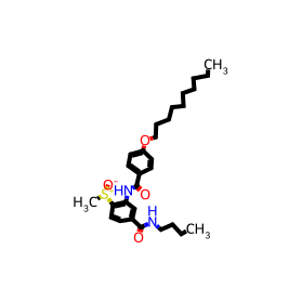 CCCCCCCCCCOc1ccc(C(=O)Nc2cc(C(=O)NCCCC)ccc2[S+](C)[O-])cc1